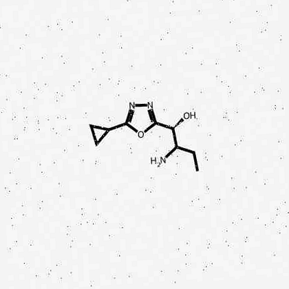 CCC(N)[C@H](O)c1nnc(C2CC2)o1